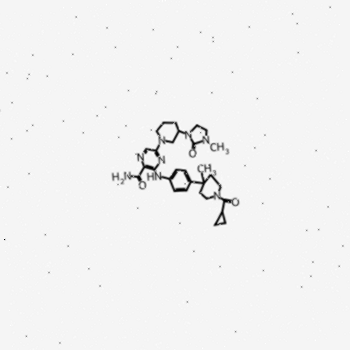 CN1CCN(C2CCCN(c3cnc(C(N)=O)c(Nc4ccc(C5(C)CCN(C(=O)C6CC6)CC5)cc4)n3)C2)C1=O